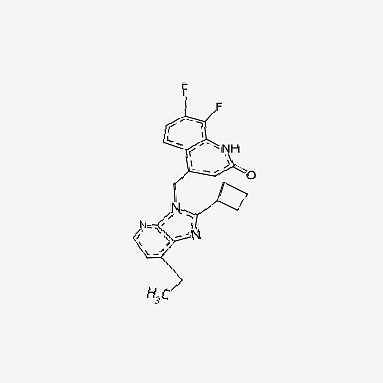 CCc1ccnc2c1nc(C1CCC1)n2Cc1cc(=O)[nH]c2c(F)c(F)ccc12